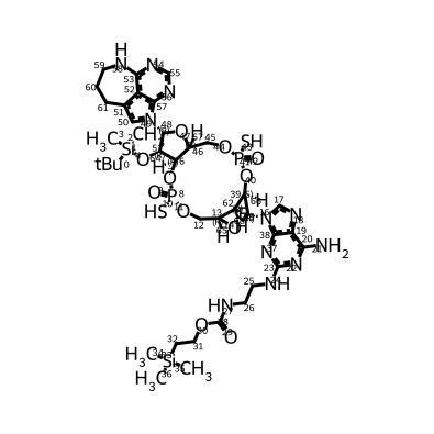 CC(C)(C)[Si](C)(C)O[C@@H]1[C@@H]2OP(=O)(S)OC[C@H]3O[C@@H](n4cnc5c(N)nc(NCCNC(=O)OCC[Si](C)(C)C)nc54)[C@H](OP(=O)(S)OC[C@H]2O[C@H]1n1cc2c4c(ncnc41)NCCC2)[C@@H]3F